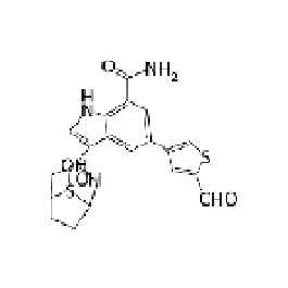 NC(=O)c1cc(-c2csc(C=O)c2)cc2c(C3CC4CCC(C3)S4(O)O)c[nH]c12